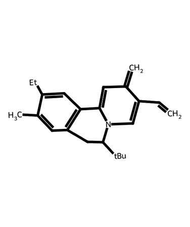 C=CC1=CN2C(=CC1=C)c1cc(CC)c(C)cc1CC2C(C)(C)C